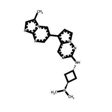 Cc1cnc2ncc(-c3ccn4nc(N[C@H]5C[C@H](N(C)C)C5)ncc34)cn12